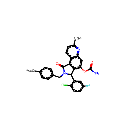 COc1ccc(CN2C(=O)c3c(c(OC(N)=O)cc4nc(OC)ccc34)C2c2cc(F)ccc2Cl)cc1